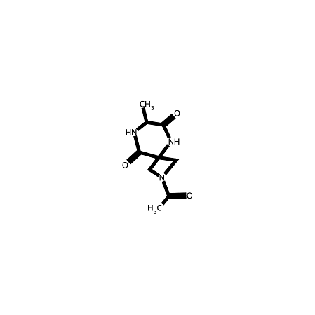 CC(=O)N1CC2(C1)NC(=O)C(C)NC2=O